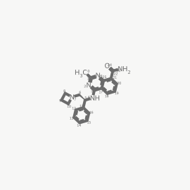 Cc1nc(N[C@H](CN2CCC2)c2ccccc2)c2cccc(C(N)=O)c2n1